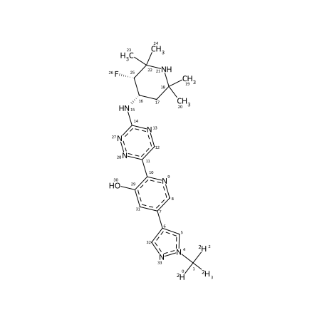 [2H]C([2H])([2H])n1cc(-c2cnc(-c3cnc(N[C@H]4CC(C)(C)NC(C)(C)[C@H]4F)nn3)c(O)c2)cn1